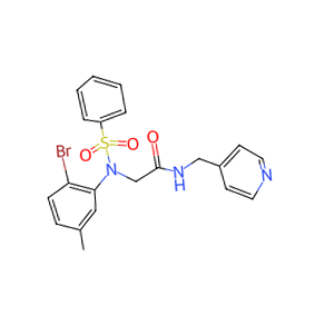 Cc1ccc(Br)c(N(CC(=O)NCc2ccncc2)S(=O)(=O)c2ccccc2)c1